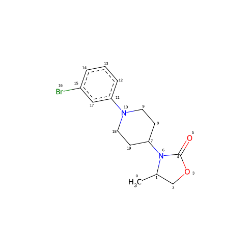 CC1COC(=O)N1C1CCN(c2cccc(Br)c2)CC1